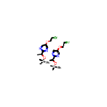 CC(O[Si](C)(C)C(C)(C)C)c1ncc(OCCBr)cn1.CC(O[Si](C)(C)C(C)(C)C)c1ncc(OCCBr)cn1